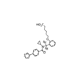 [2H]C([2H])(c1ccccc1OCCCCCC(=O)O)N(C(=O)c1ccc(-c2ccsc2)cc1)C1CC1